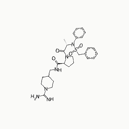 C[C@@H](C(=O)N1CCC[C@H]1C(=O)NCC1CCN(C(=N)N)CC1)N(c1ccccc1)S(=O)(=O)Cc1ccccc1